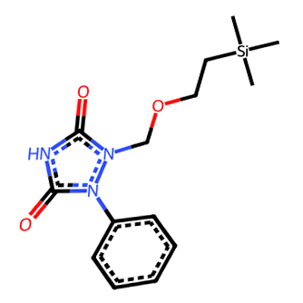 C[Si](C)(C)CCOCn1c(=O)[nH]c(=O)n1-c1ccccc1